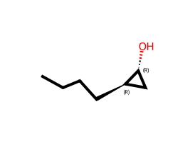 CCCC[C@@H]1C[C@H]1O